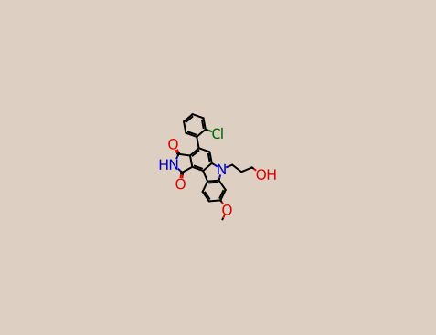 COc1ccc2c3c4c(c(-c5ccccc5Cl)cc3n(CCCO)c2c1)C(=O)NC4=O